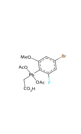 COc1cc(Br)cc(F)[c]1[Pb]([CH2]C(=O)O)([O]C(C)=O)[O]C(C)=O